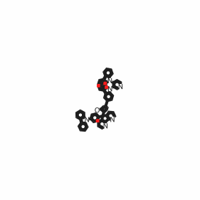 c1cnc2c(c1)C1(c3ccc(-c4ccc5c(c4)c4ccccc4n5-c4cnccc4-n4c5ccccc5c5ccccc54)cc3Oc3cc(-n4c5ccccc5c5ccccc54)ccc31)c1cccnc1-2